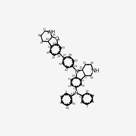 c1ccc(N(c2ccccc2)c2ccc3c(c2)C2CNCCC2N3c2ccc(-c3ccc4c(c3)OC3NCCCC43)cc2)cc1